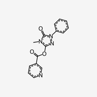 Cn1c(OC(=O)c2cccnc2)nn(-c2ccccc2)c1=O